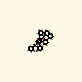 CC1(c2ccccc2)c2ccccc2Oc2cccc(-c3ccc4c(c3)C3(c5ccccc5-4)c4ccccc4-c4cccc5cccc3c45)c21